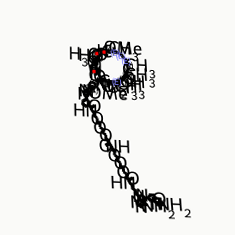 CO[C@H]1C[C@@H]2CC[C@@H](C)[C@@](O)(O2)C(=O)C(=O)N2CCCC[C@H]2C(=O)O[C@H]([C@H](N)C[C@@H]2CC[C@H](n3cc(-c4cccc(C(=O)NCCOCCOCCOCCC(=O)NCCOCCOCCOCCC(=O)NCCCCn5nc(-c6ccc7oc(N)nc7c6)c6c(N)ncnc65)c4)nn3)[C@H](OC)C2)CC(=O)[C@H](C)/C=C(\C)[C@@H](O)[C@@H](O)C(=O)[C@H](C)C[C@H](C)/C=C/C=C/C=C/1C